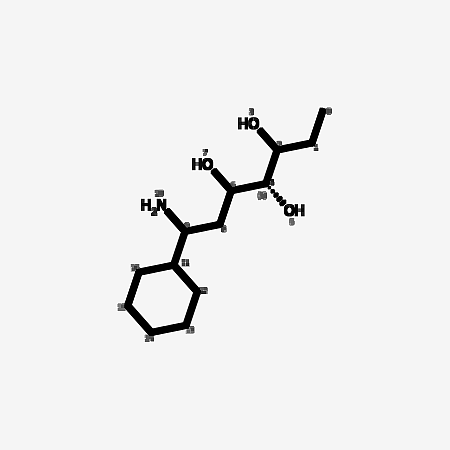 CCC(O)[C@H](O)C(O)CC(N)C1CCCCC1